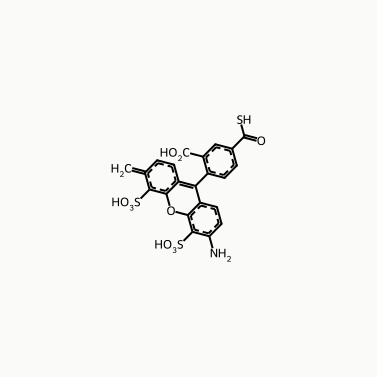 C=c1ccc2c(c1S(=O)(=O)O)Oc1c(ccc(N)c1S(=O)(=O)O)C=2c1ccc(C(=O)S)cc1C(=O)O